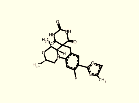 Cc1coc(-c2cc3c(cc2F)N2C[C@@H](C)O[C@@H](C)[C@@H]2C2(C3)C(=O)NC(=O)NC2=O)n1